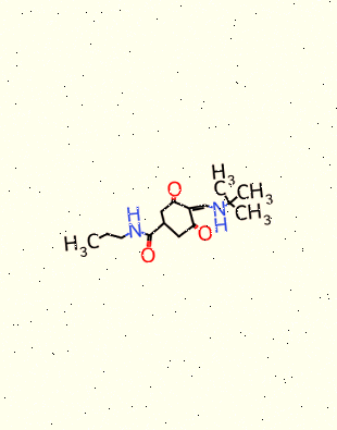 CCCNC(=O)C1CC(=O)C(=CNC(C)(C)C)C(=O)C1